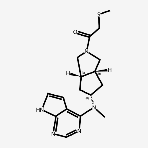 CSCC(=O)N1C[C@H]2C[C@@H](N(C)c3ncnc4[nH]ccc34)C[C@H]2C1